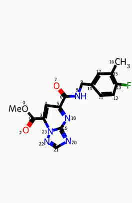 COC(=O)c1cc(C(=O)NCc2ccc(F)c(C)c2)nc2ncnn12